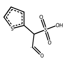 O=[C]C(c1cccs1)S(=O)(=O)O